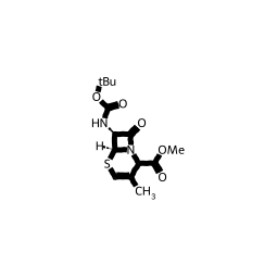 COC(=O)C1C(C)=CS[C@H]2[C@H](NC(=O)OC(C)(C)C)C(=O)N12